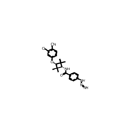 CC1(C)[C@H](NC(=O)c2ccc(NN=N)cc2)C(C)(C)[C@H]1Oc1ccc(C#N)c(Cl)c1